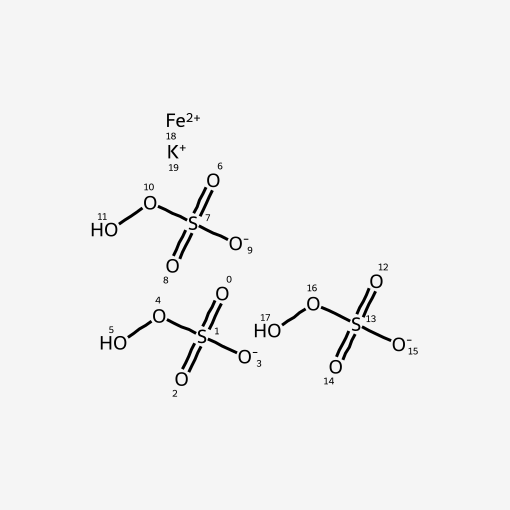 O=S(=O)([O-])OO.O=S(=O)([O-])OO.O=S(=O)([O-])OO.[Fe+2].[K+]